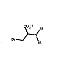 CCN(CC)C(CC(C)C)C(=O)O